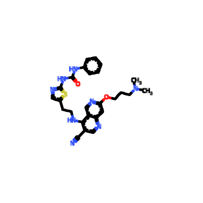 CN(C)CCCOc1cc2ncc(C#N)c(NCCc3cnc(NC(=O)Nc4ccccc4)s3)c2cn1